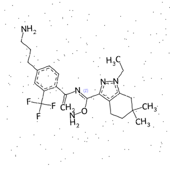 C=C(/N=C(\ON)c1nn(CC)c2c1CCC(C)(C)C2)c1ccc(CCCN)cc1C(F)(F)F